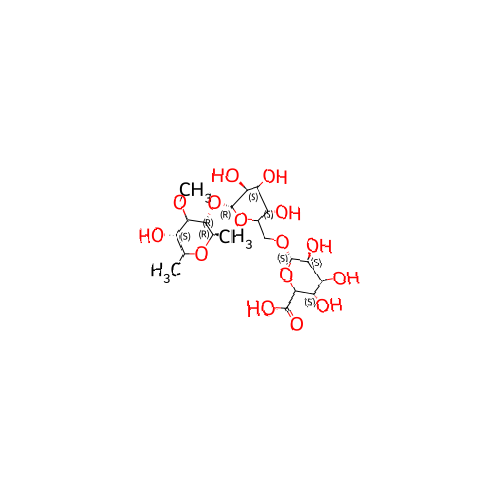 COC1[C@@H](O)C(C)O[C@H](C)[C@H]1O[C@H]1OC(CO[C@H]2OC(C(=O)O)[C@@H](O)C(O)[C@@H]2O)[C@@H](O)C(O)[C@@H]1O